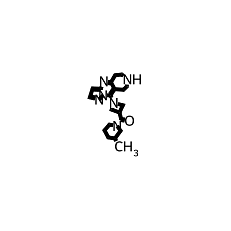 CC1CCCN(C(=O)C2CN(c3c4c(nc5ccnn35)CCNCC4)C2)C1